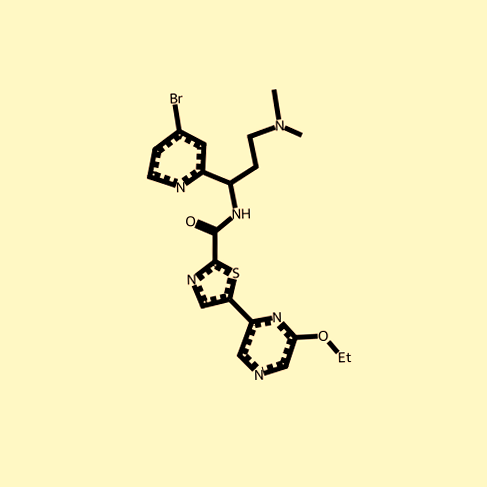 CCOc1cncc(-c2cnc(C(=O)NC(CCN(C)C)c3cc(Br)ccn3)s2)n1